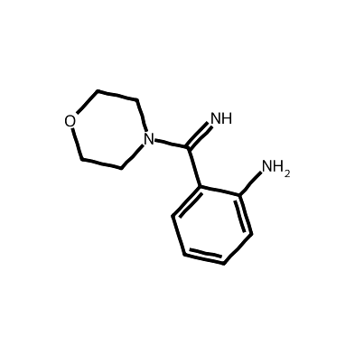 N=C(c1ccccc1N)N1CCOCC1